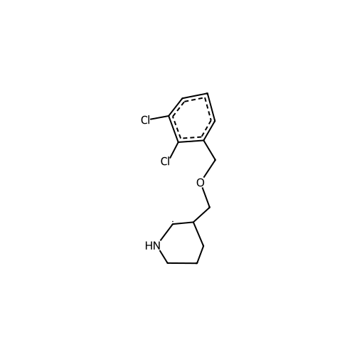 Clc1cccc(COCC2[CH]NCCC2)c1Cl